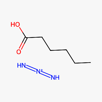 CCCCCC(=O)O.N=[N+]=N